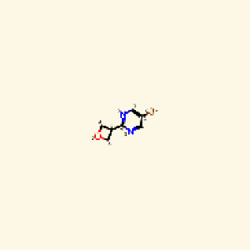 Brc1cnc(C2COC2)nc1